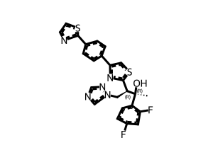 C[C@](O)(c1ccc(F)cc1F)[C@@H](Cn1cncn1)c1nc(-c2ccc(-c3nccs3)cc2)cs1